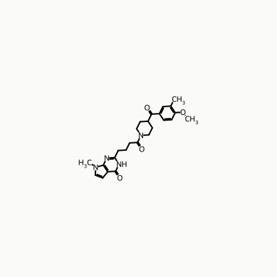 COc1ccc(C(=O)C2CCN(C(=O)CCCc3nc4c(ccn4C)c(=O)[nH]3)CC2)cc1C